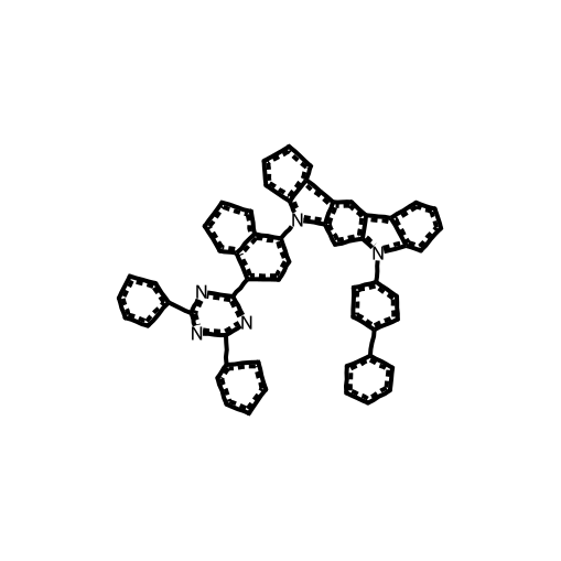 c1ccc(-c2ccc(-n3c4ccccc4c4cc5c6ccccc6n(-c6ccc(-c7nc(-c8ccccc8)nc(-c8ccccc8)n7)c7ccccc67)c5cc43)cc2)cc1